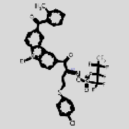 CCn1c2ccc(C(=O)/C(CCSc3ccc(Cl)cc3)=N/OS(=O)(=O)C(F)(F)C(F)(F)C(F)(F)C(F)(F)F)cc2c2cc(C(=O)c3ccccc3C)ccc21